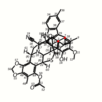 C=CCN1[C@H]2c3c(cc(C)c(OC)c3O)C[C@H]1[C@H](C#N)N1C2[C@@H]2SC[C@]3(NCCc4c3[nH]c3ccc(C)cc43)C(=O)OC[C@H]1c1c3c(c(C)c(OC(C)=O)c12)OCO3